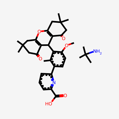 CC(C)(C)N.COc1ccc(-c2cccc(C(=O)O)n2)c(C)c1C1C2=C(CC(C)(C)CC2=O)OC2=C1C(=O)CC(C)(C)C2